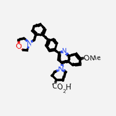 COc1ccc2c(N3CCC(C(=O)O)CC3)cc(-c3ccc(-c4ccccc4CN4CCOCC4)cc3)nc2c1